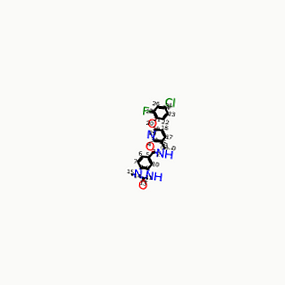 C[C@H](NC(=O)c1ccc2c(c1)[nH]c(=O)n2C)c1ccc(Oc2ccc(Cl)cc2F)nc1